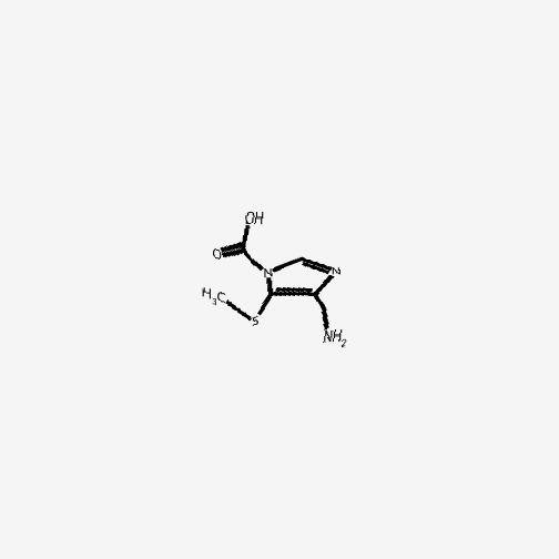 CSc1c(N)ncn1C(=O)O